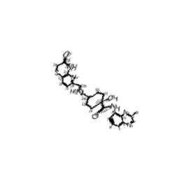 Cc1cnc2cccc(NC(=O)[C@]3(O)CC[C@@H](NCc4ccc5c(n4)NC(=O)CS5)CC3)c2n1